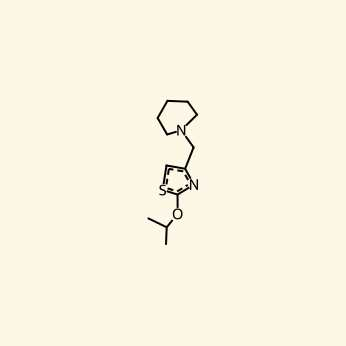 CC(C)Oc1nc(CN2CCCCC2)cs1